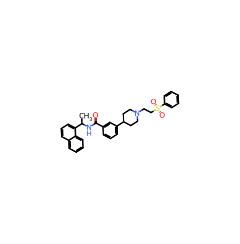 CC(NC(=O)c1cccc(C2CCN(CCS(=O)(=O)c3ccccc3)CC2)c1)c1cccc2ccccc12